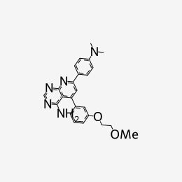 COCCOc1cccc(-c2cc(-c3ccc(N(C)C)cc3)nc3ncnc(N)c23)c1